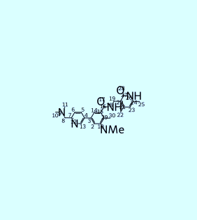 CNc1cc(-c2ccc(CN(C)C)nc2)cc(C(=O)NCc2c(C)cc(C)[nH]c2=O)c1C